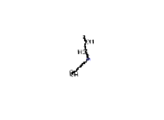 CCC=CCC(O)C#CC=CC=CC(O)CC=CC/C=C\CCCCCCCCCCCCCCC(=O)O